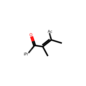 CC(=O)/C(C)=C(/C)C(=O)C(C)C